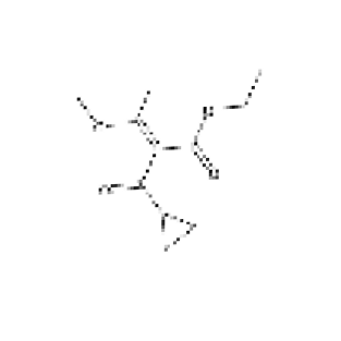 CCOC(=O)C(C(=O)C1CC1)=C(C)OC